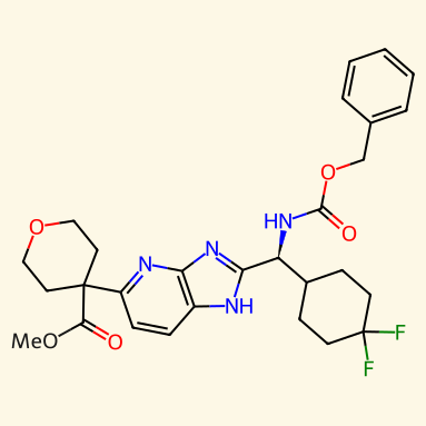 COC(=O)C1(c2ccc3[nH]c([C@@H](NC(=O)OCc4ccccc4)C4CCC(F)(F)CC4)nc3n2)CCOCC1